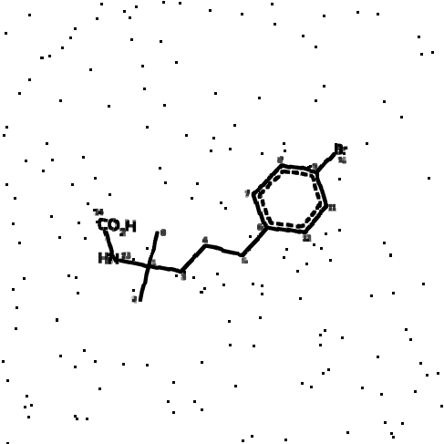 CC(C)(CCCc1ccc(Br)cc1)NC(=O)O